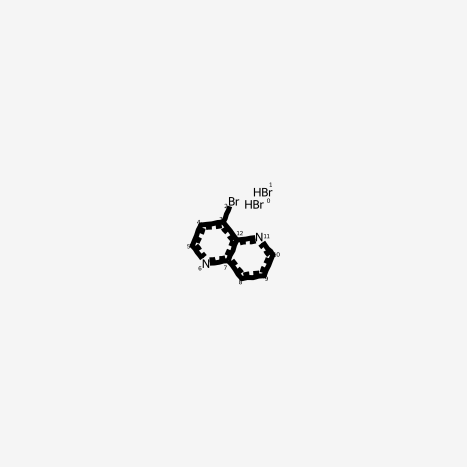 Br.Br.Brc1ccnc2cccnc12